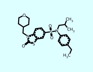 CCc1ccc(N(CC(C)C)S(=O)(=O)c2ccc3c(c2)sc(=O)n3CC2CCOCC2)cc1